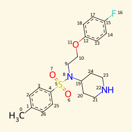 Cc1ccc(S(=O)(=O)N(CCOc2ccc(F)cc2)C2CCNCC2)cc1